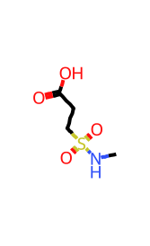 CNS(=O)(=O)CCC(=O)O